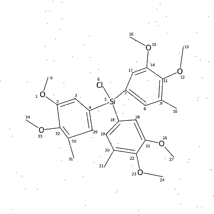 COc1cc([Si](Cl)(c2cc(C)c(OC)c(OC)c2)c2cc(C)c(OC)c(OC)c2)cc(C)c1OC